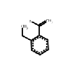 C=C(F)c1ccccc1CC